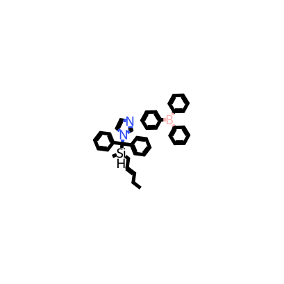 CCC=CC[SiH](C)C(c1ccccc1)(c1ccccc1)n1ccnc1.c1ccc(B(c2ccccc2)c2ccccc2)cc1